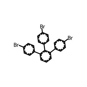 Brc1ccc(-c2cccc(-c3ccc(Br)cc3)c2-c2ccc(Br)cc2)cc1